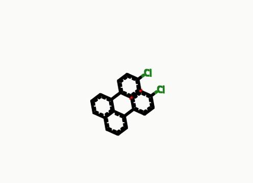 Clc1ccc(-c2cccc3cccc(-c4ccc(Cl)cc4)c23)cc1